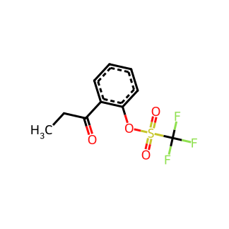 CCC(=O)c1ccccc1OS(=O)(=O)C(F)(F)F